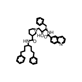 O=C(N[C@H](Cc1ccccc1)[C@@H](O)CN1CCCC(C(=O)NC(CCCc2ccccc2)CCCc2ccccc2)C1)c1ccc2ncccc2c1